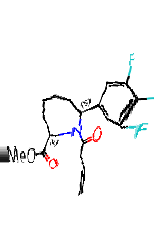 C=CCC(=O)N1[C@@H](C(=O)OC)CCC[C@H]1c1cc(F)c(F)c(F)c1